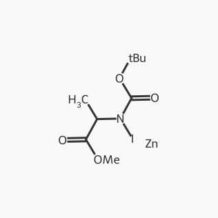 COC(=O)C(C)N(I)C(=O)OC(C)(C)C.[Zn]